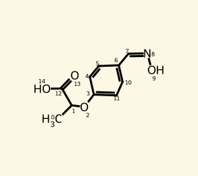 CC(Oc1ccc(/C=N\O)cc1)C(=O)O